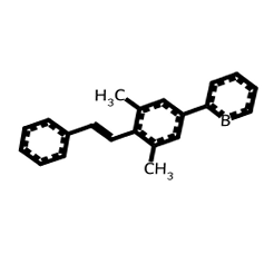 Cc1cc(-c2bcccc2)cc(C)c1C=Cc1ccccc1